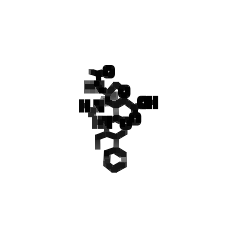 CCC(NC(=O)C1=C(C(=O)O)OC[C@H](NC(C)=O)[C@H]1N)C(C)c1ccccc1